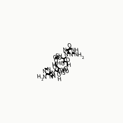 Nc1nc2c(ncn2[C@@H]2O[C@@H]3COP(=O)(S)OC4C(O)[C@H](n5nnc6c(N)ncnc65)O[C@@H]4COP(=O)(S)OC2C3O)c(=O)[nH]1